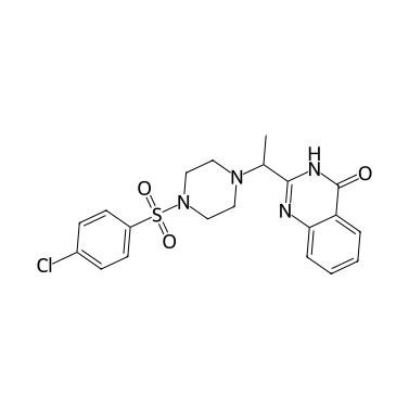 CC(c1nc2ccccc2c(=O)[nH]1)N1CCN(S(=O)(=O)c2ccc(Cl)cc2)CC1